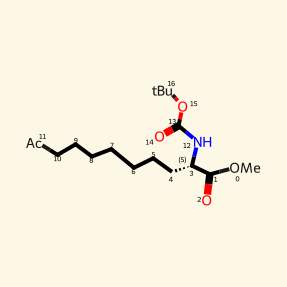 COC(=O)[C@H](CCCCCCCC(C)=O)NC(=O)OC(C)(C)C